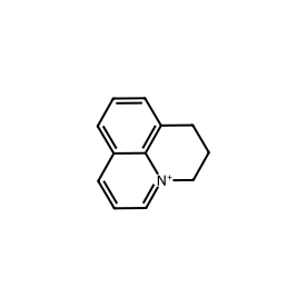 c1cc2c3c(c1)ccc[n+]3CCC2